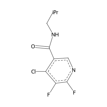 CC(C)CNC(=O)c1cnc(F)c(F)c1Cl